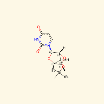 CC[C@]12O[C@@H](n3ccc(=O)[nH]c3=O)[C@H](O[C@H]1C)[C@@H]2O[Si](C)(C)C(C)(C)C